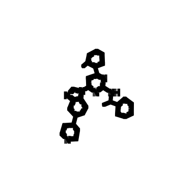 Cc1ccccc1-c1cc(-n2cnc3cc(-c4ccncc4)ccc32)nc(NC(C)c2ccccc2)n1